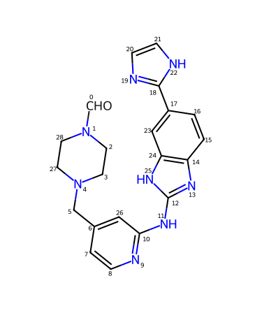 O=CN1CCN(Cc2ccnc(Nc3nc4ccc(-c5ncc[nH]5)cc4[nH]3)c2)CC1